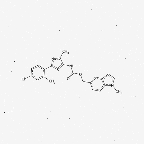 Cc1cc(Cl)ccc1-c1nc(C)c(NC(=O)OCc2ccc3c(ccn3C)c2)s1